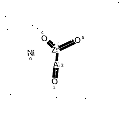 [Ni].[O]=[Al][Zr](=[O])=[O]